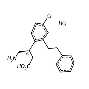 Cl.NC[C@H](CC(=O)O)c1ccc(Cl)cc1CCc1ccccc1